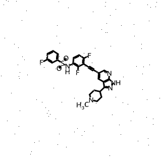 CN1CCC(c2n[nH]c3ncc(C#Cc4c(F)ccc(NS(=O)(=O)c5cccc(F)c5)c4F)cc23)CC1